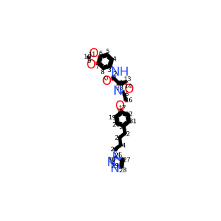 O=C(Nc1ccc2c(c1)OCO2)c1coc(COc2ccc(CCCCn3ccnn3)cc2)n1